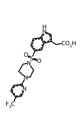 O=C(O)Cc1c[nH]c2ccc(S(=O)(=O)N3CCN(c4ccc(C(F)(F)F)cn4)CC3)cc12